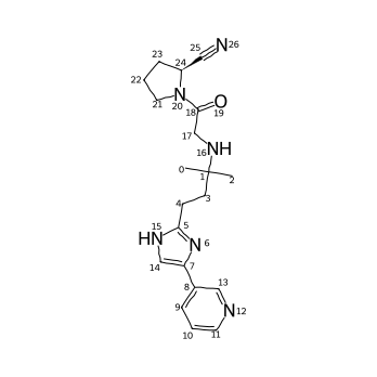 CC(C)(CCc1nc(-c2cccnc2)c[nH]1)NCC(=O)N1CCC[C@H]1C#N